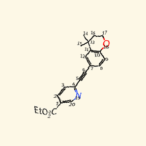 CCOC(=O)c1ccc(C#Cc2ccc3c(c2)C(C)(C)CCO3)nc1